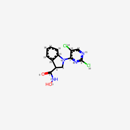 O=C(NO)C1CN(c2nc(Cl)ncc2Cl)c2ccccc21